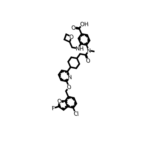 CN(C(=O)CC1CCC(c2cccc(OCc3ccc(Cl)c4cc(F)oc34)n2)CC1)c1ccc(C(=O)O)cc1NCC1CCO1